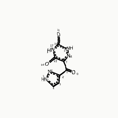 O=C(c1cc[nH]n1)c1n[nH]c(=O)[nH]c1=O